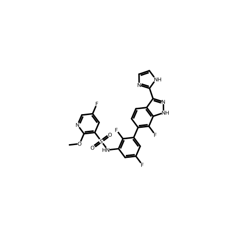 COc1ncc(F)cc1S(=O)(=O)Nc1cc(F)cc(-c2ccc3c(-c4ncc[nH]4)n[nH]c3c2F)c1F